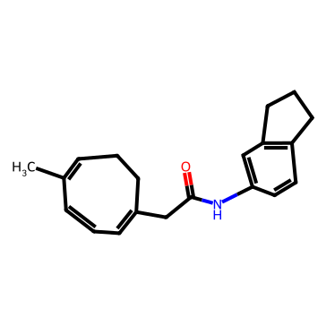 CC1=CCC/C(CC(=O)Nc2ccc3c(c2)CCC3)=C\C=C/1